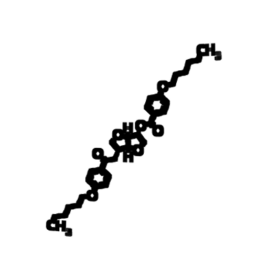 CCCCCCOc1ccc(C(=O)C[C@H]2CO[C@H]3[C@@H]2OC[C@H]3OC(=O)c2ccc(OCCCCCC)cc2)cc1